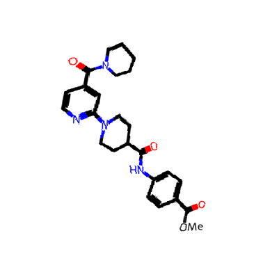 COC(=O)c1ccc(NC(=O)C2CCN(c3cc(C(=O)N4CCCCC4)ccn3)CC2)cc1